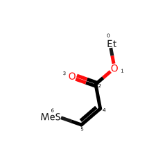 CCOC(=O)/C=C\SC